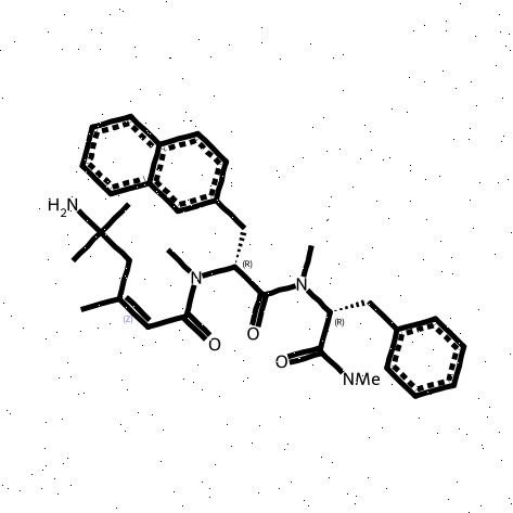 CNC(=O)[C@@H](Cc1ccccc1)N(C)C(=O)[C@@H](Cc1ccc2ccccc2c1)N(C)C(=O)/C=C(/C)CC(C)(C)N